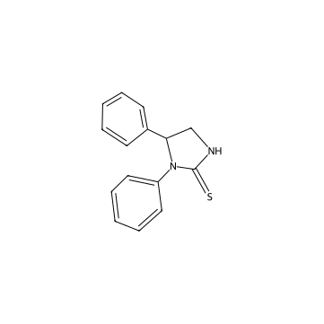 S=C1NCC(c2ccccc2)N1c1ccccc1